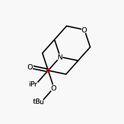 CC(C)C1CC2COCC(C1)N2C(=O)OC(C)(C)C